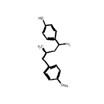 COc1ccc(CC(C)CC(C)c2ccc(O)cc2)cc1